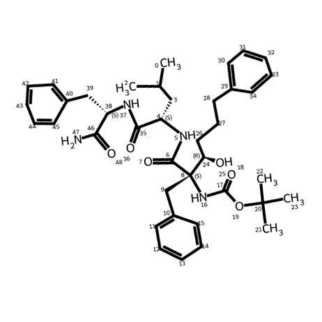 CC(C)C[C@H](NC(=O)[C@@](Cc1ccccc1)(NC(=O)OC(C)(C)C)[C@H](O)CCCc1ccccc1)C(=O)N[C@@H](Cc1ccccc1)C(N)=O